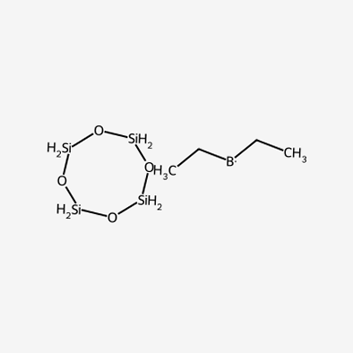 CC[B]CC.O1[SiH2]O[SiH2]O[SiH2]O[SiH2]1